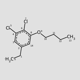 [CH2]Cc1cc(Cl)c(Cl)c(OCCCC)c1